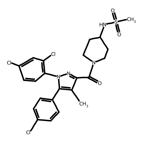 Cc1c(C(=O)N2CCC(NS(C)(=O)=O)CC2)nn(-c2ccc(Cl)cc2Cl)c1-c1ccc(Cl)cc1